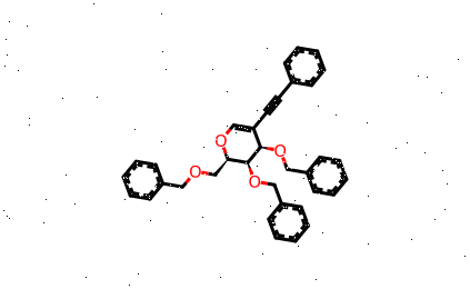 C(#Cc1ccccc1)C1=CO[C@H](COCc2ccccc2)[C@H](OCc2ccccc2)[C@@H]1OCc1ccccc1